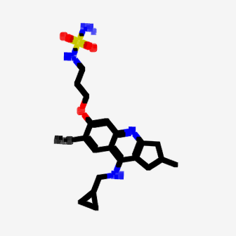 COc1cc2c(NCC3CC3)c3c(nc2cc1OCCCNS(N)(=O)=O)CC(C)C3